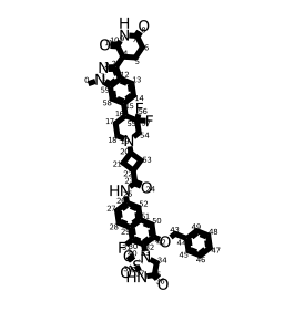 Cn1nc(C2CCC(=O)NC2=O)c2ccc(C3CCN(C4CC(C(=O)Nc5ccc6c(F)c(N7CC(=O)NS7(=O)=O)c(OCc7ccccc7)cc6c5)C4)CC3(F)F)cc21